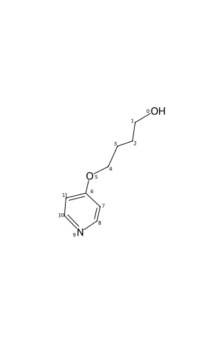 OCCCCOc1ccncc1